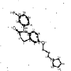 O=C1CCc2cc(OCCCN3CCCC3)ccc2N1c1cccc(F)c1